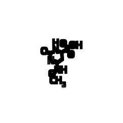 CONC1=NC(=O)NC(S(=O)(=O)O)C1